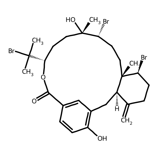 C=C1CC[C@H](Br)[C@@]2(C)CC[C@@H](Br)[C@@](C)(O)CC[C@@H](C(C)(C)Br)OC(=O)c3ccc(O)c(c3)C[C@H]12